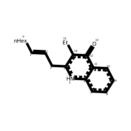 CCCCCCC=CCc1[nH]c2ccccc2c(=O)c1CC